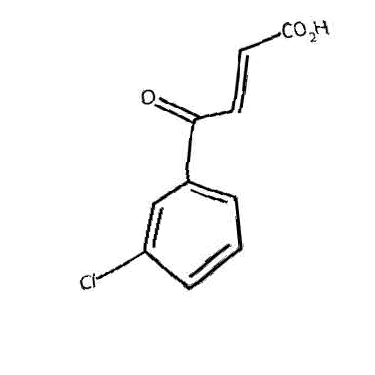 O=C(O)C=CC(=O)c1cccc(Cl)c1